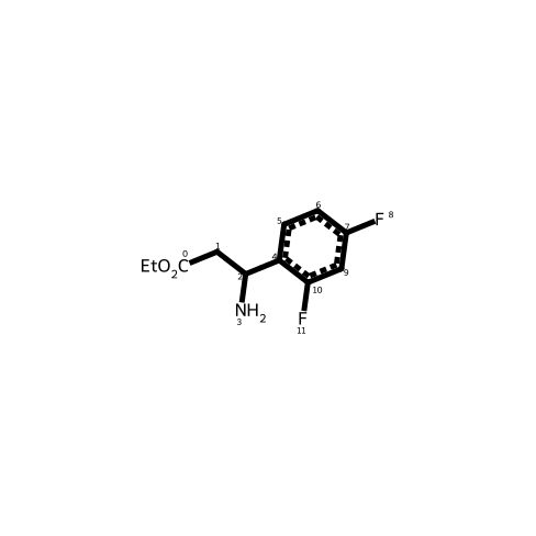 CCOC(=O)CC(N)c1ccc(F)cc1F